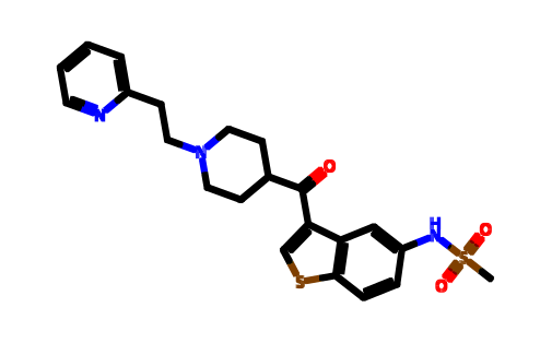 CS(=O)(=O)Nc1ccc2scc(C(=O)C3CCN(CCc4ccccn4)CC3)c2c1